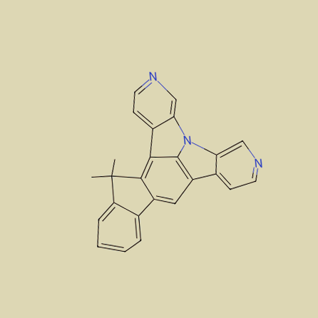 CC1(C)c2ccccc2-c2cc3c4ccncc4n4c5cnccc5c(c21)c34